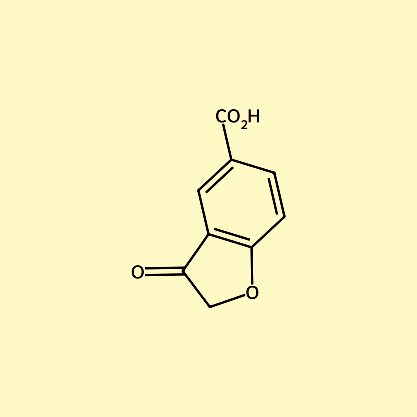 O=C(O)c1ccc2c(c1)C(=O)CO2